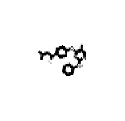 CC(C)=CC(=O)c1ccc(Oc2nc(Nc3ccccc3)ncc2C)cc1